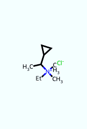 CC[N+](C)(C)C(C)C1CC1.[Cl-]